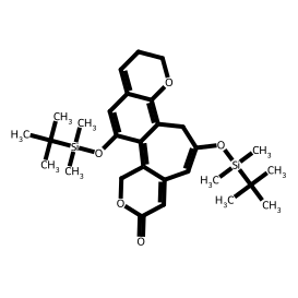 CC(C)(C)[Si](C)(C)OC1=CC2=CC(=O)OCC2=c2c(O[Si](C)(C)C(C)(C)C)cc3c(c2C1)OCCC=3